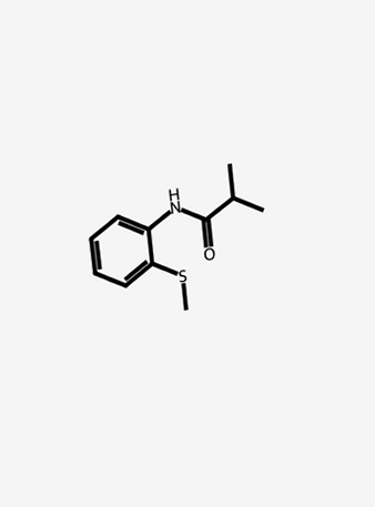 CSc1ccccc1NC(=O)C(C)C